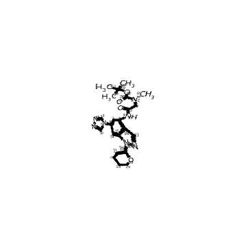 CN(CC(=O)Nc1cc(-n2cnnc2)cc2c1cnn2C1CCCCO1)C(=O)OC(C)(C)C